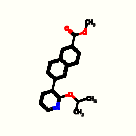 COC(=O)c1ccc2cc(-c3cccnc3OC(C)C)ccc2c1